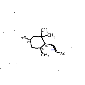 CC(=O)/C=C/[C@H]1[C@@H](C)C[C@@H](O)CC1(C)C